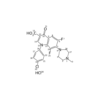 CN1CCN(c2c(F)cc3c(=O)c(C(=O)O)cn(-c4ccc(Cl)cc4)c3c2F)CC1.Cl